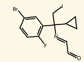 O=CC=NC(CI)(c1cc(Br)ccc1F)C1CC1